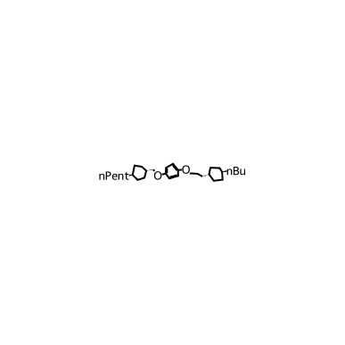 CCCCC[C@H]1CC[C@H](COc2ccc(OCCC[C@H]3CC[C@H](CCCC)CC3)cc2)CC1